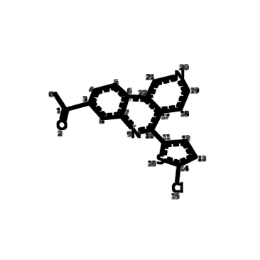 CC(=O)c1ccc2c(c1)nc(-c1ccc(Cl)s1)c1ccncc12